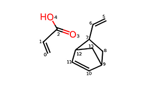 C=CC(=O)O.C=CC1CC2C=CC1C2